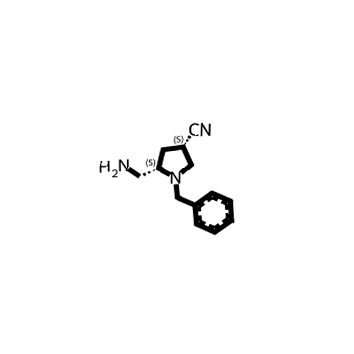 N#C[C@H]1C[C@@H](CN)N(Cc2ccccc2)C1